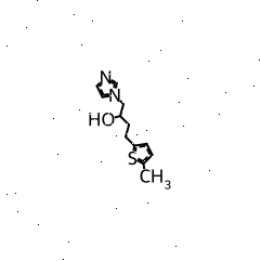 Cc1ccc(CCC(O)Cn2ccnc2)s1